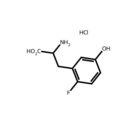 Cl.NC(Cc1cc(O)ccc1F)C(=O)O